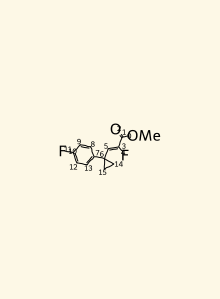 COC(=O)/C(F)=C/C1(c2ccc(F)cc2)CC1